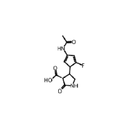 CC(=O)NC1=CC(C2CNC(=O)[C@H]2C(=O)O)C(F)=C1